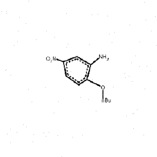 CCCCOc1ccc([N+](=O)[O-])cc1N